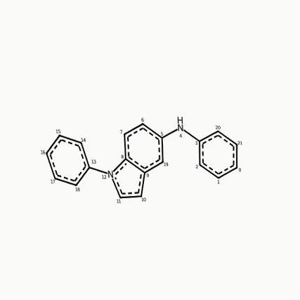 c1ccc(Nc2ccc3c(ccn3-c3ccccc3)c2)cc1